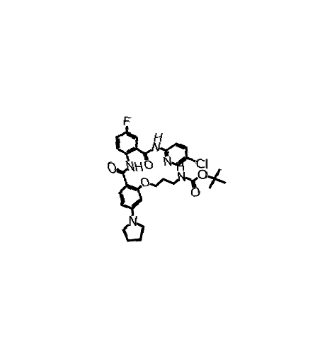 CC(C)(C)OC(=O)NCCCOc1cc(N2CCCC2)ccc1C(=O)Nc1ccc(F)cc1C(=O)Nc1ccc(Cl)cn1